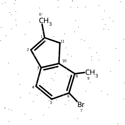 CC1=Cc2ccc(Br)c(C)c2C1